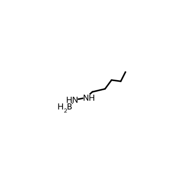 BNNCCCCC